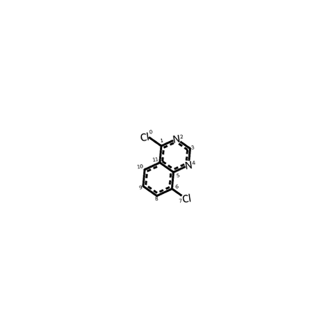 Clc1ncnc2c(Cl)cccc12